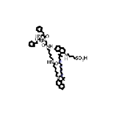 CC(C)(C/C=C/C=C/C=C/C=C1\N(CCCCCC(=O)NCCCCCCNC(=O)CNC(=O)[C@H](Cc2ccccc2)NC(=O)OCc2ccccc2)c2ccc3ccccc3c2C1(C)C)c1c(NCCCCS(=O)(=O)O)ccc2ccccc12